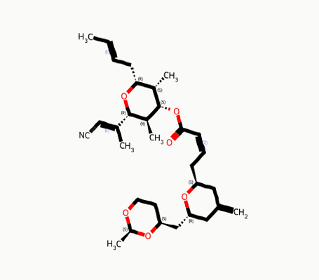 C=C1C[C@H](C[C@@H]2CCO[C@H](C)O2)O[C@@H](C/C=C\C(=O)O[C@H]2[C@@H](C)[C@@H](C/C=C/C)O[C@@H](/C(C)=C/C#N)[C@@H]2C)C1